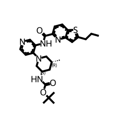 CCCc1cc2nc(C(=O)Nc3cnccc3N3C[C@H](C)C[C@H](NC(=O)OC(C)(C)C)C3)ccc2s1